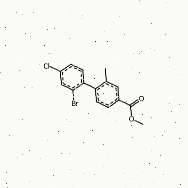 COC(=O)c1ccc(-c2ccc(Cl)cc2Br)c(C)c1